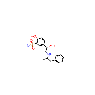 CC(Cc1ccccc1)NCC(O)c1ccc(O)c(S(N)(=O)=O)c1